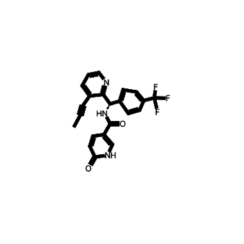 CC#Cc1cccnc1[C@@H](NC(=O)c1ccc(=O)[nH]c1)c1ccc(C(F)(F)F)cc1